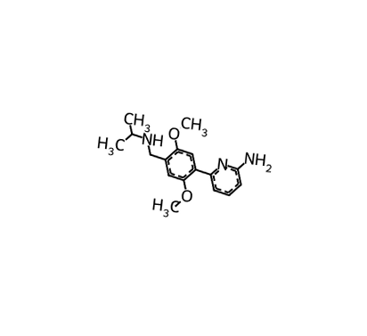 COc1cc(-c2cccc(N)n2)c(OC)cc1CNC(C)C